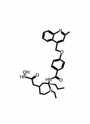 CCC[C@]1(NC(=O)c2ccc(OCc3cc(C)nc4ccccc34)cc2)CC(CC(=O)NO)CCN1CC